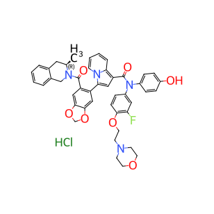 C[C@@H]1Cc2ccccc2CN1C(=O)c1cc2c(cc1-c1cc(C(=O)N(c3ccc(O)cc3)c3ccc(OCCN4CCOCC4)c(F)c3)c3ccccn13)OCO2.Cl